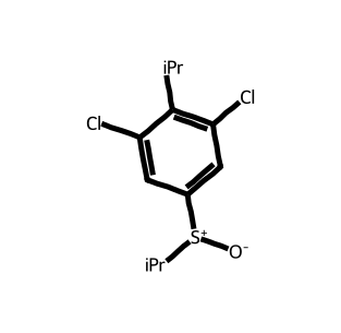 CC(C)c1c(Cl)cc([S+]([O-])C(C)C)cc1Cl